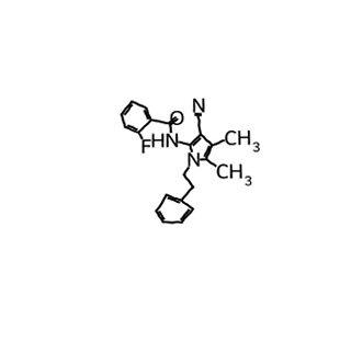 Cc1c(C#N)c(NC(=O)c2ccccc2F)n(CCc2ccccc2)c1C